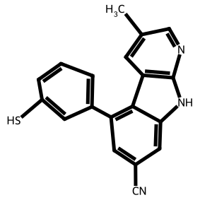 Cc1cnc2[nH]c3cc(C#N)cc(-c4cccc(S)c4)c3c2c1